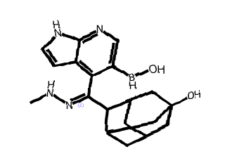 CN/N=C(\c1c(BO)cnc2[nH]ccc12)C1C2CC3CC1CC(O)(C3)C2